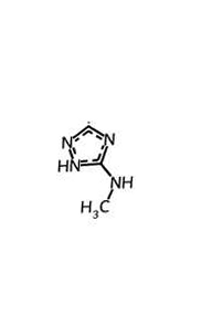 CNc1n[c]n[nH]1